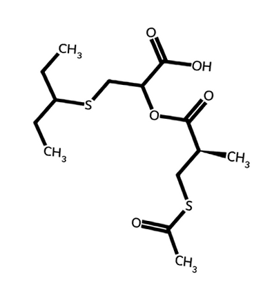 CCC(CC)SCC(OC(=O)[C@@H](C)CSC(C)=O)C(=O)O